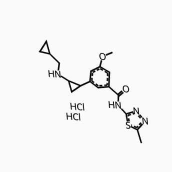 COc1cc(C(=O)Nc2nnc(C)s2)cc(C2CC2NCC2CC2)c1.Cl.Cl